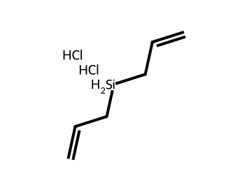 C=CC[SiH2]CC=C.Cl.Cl